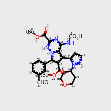 CC(C)(C)OC(=O)c1nc(NC(=O)O)c2c(-c3ccnn3C3CCOCC3)c(C(=O)OC(C)(C)C)c(-c3cccc(C=O)c3)n2n1